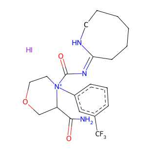 I.NC(=O)C1COCC[N+]1(C(=O)N=C1CCCCCCN1)c1cccc(C(F)(F)F)c1